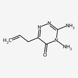 C=CCc1nnc(N)n(N)c1=O